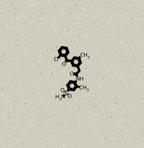 Cc1cc(CC(=O)Nc2ccc(S(N)(=O)=O)cc2C)cc(C(=O)c2ccccc2Cl)c1